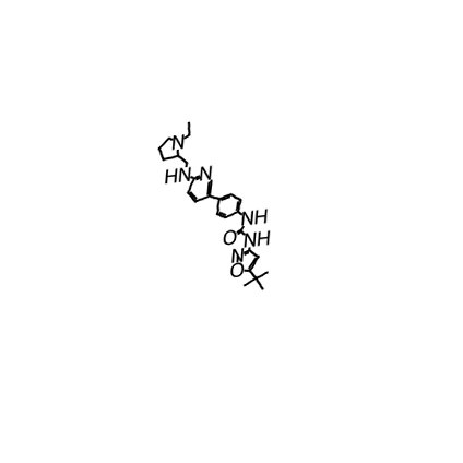 CCN1CCCC1CNc1ccc(-c2ccc(NC(=O)Nc3cc(C(C)(C)C)on3)cc2)cn1